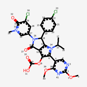 COc1ncc(-c2c(OC(=O)O)c3c(n2C(C)C)C(c2ccc(Cl)cc2)N(c2cc(Cl)c(=O)n(C)c2)C3=O)c(OC)n1